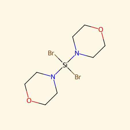 Br[Si](Br)(N1CCOCC1)N1CCOCC1